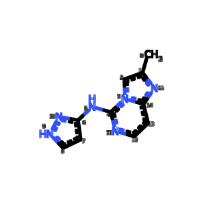 Cc1cn2c(Nc3cc[nH]n3)nccc2n1